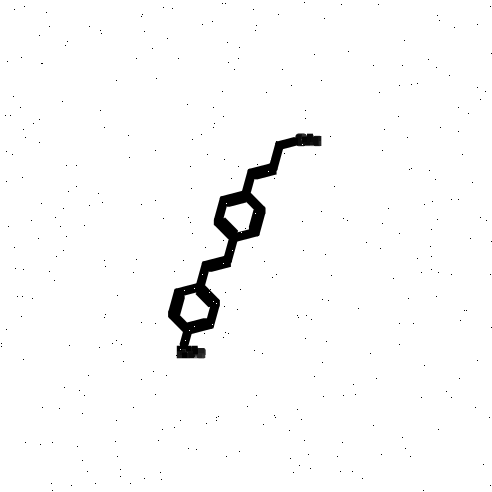 CNc1ccc(/C=C/c2ccc(/C=C/COC(C)=O)cc2)cc1